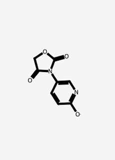 [O]c1ccc(N2C(=O)COC2=O)cn1